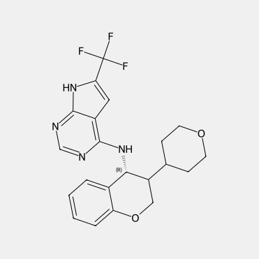 FC(F)(F)c1cc2c(N[C@H]3c4ccccc4OCC3C3CCOCC3)ncnc2[nH]1